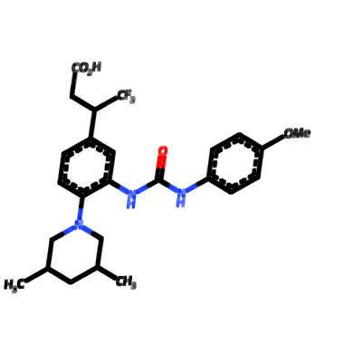 COc1ccc(NC(=O)Nc2cc(C(CC(=O)O)C(F)(F)F)ccc2N2CC(C)CC(C)C2)cc1